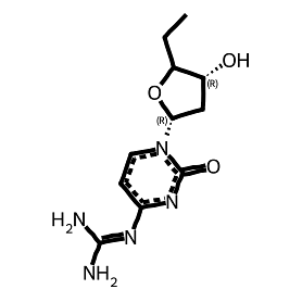 CCC1O[C@@H](n2ccc(N=C(N)N)nc2=O)C[C@H]1O